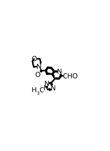 Cn1cnc(-c2cc(C=O)nc3ccc(C(=O)N4CCOCC4)cc23)n1